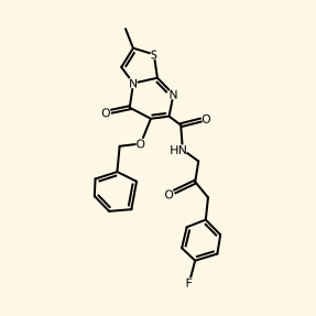 Cc1cn2c(=O)c(OCc3ccccc3)c(C(=O)NCC(=O)Cc3ccc(F)cc3)nc2s1